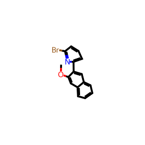 COc1cc2ccccc2cc1-c1cccc(Br)n1